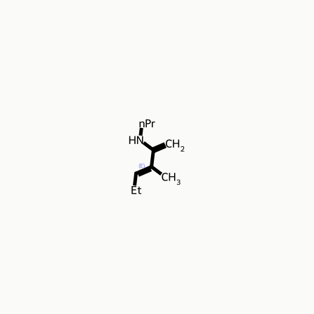 C=C(NCCC)/C(C)=C/CC